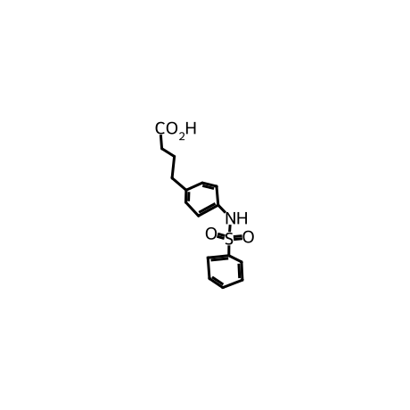 O=C(O)CCCc1ccc(NS(=O)(=O)c2ccccc2)cc1